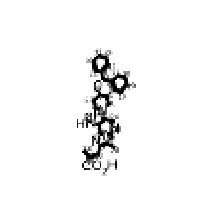 CCCNc1c(N2CCC(OC(c3ccccc3)c3ccccc3)CC2)cnn2c(C)c(CC(C)C(=O)O)nc12